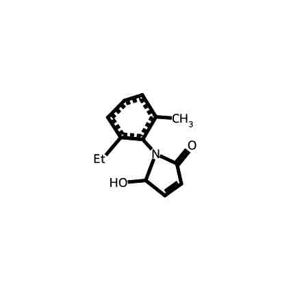 CCc1cccc(C)c1N1C(=O)C=CC1O